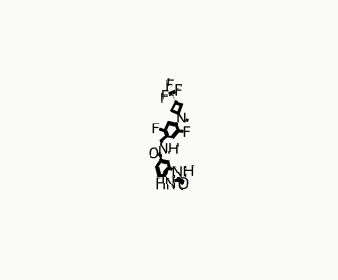 CN(c1cc(F)c(CNC(=O)c2ccc3[nH]c(=O)[nH]c3c2)cc1F)[C@H]1C[C@@H](C(F)(F)F)C1